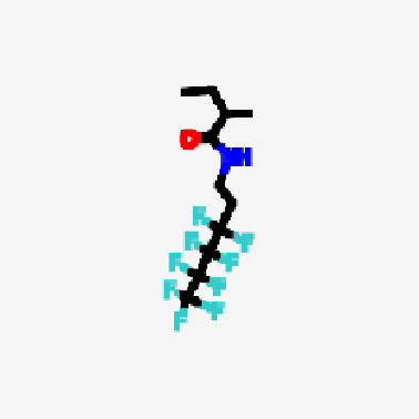 CCC(C)C(=O)NCCC(F)(F)C(F)(F)C(F)(F)C(F)(F)F